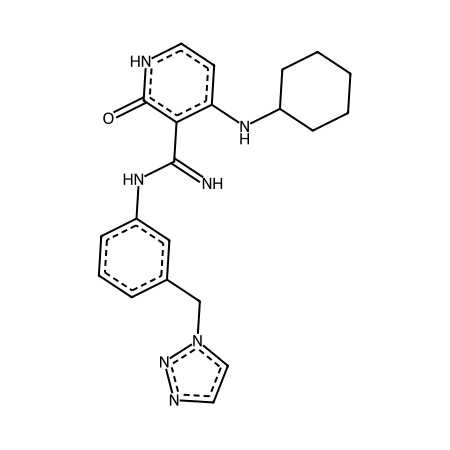 N=C(Nc1cccc(Cn2ccnn2)c1)c1c(NC2CCCCC2)cc[nH]c1=O